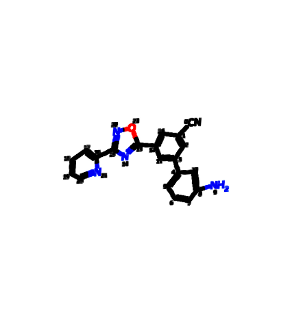 N#Cc1cc(-c2cccc(N)c2)cc(-c2nc(-c3ccccn3)no2)c1